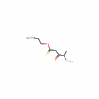 CCCCCC[C@H](C)C(=O)CC(=S)OCCNC(C)=O